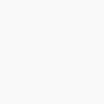 Cc1cccc(C)c1-c1ccc2c(c1)sc(C=C1C=C(N)N(c3ccccc3)c3ccccc31)[n+]2C